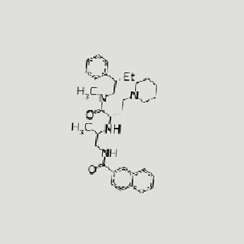 CC[C@H](CN(C)C(=O)[C@H](CCN1CCCCC1)NC(C)CNC(=O)c1ccc2ccccc2c1)c1ccccc1